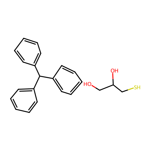 OCC(O)CS.c1ccc(C(c2ccccc2)c2ccccc2)cc1